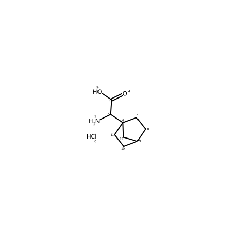 Cl.NC(C(=O)O)C12CCC(CC1)C2